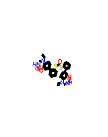 CCN1CNS(=O)(=O)c2cc(-c3ccccc3SC(=O)Sc3ccccc3-c3ccc4c(c3)S(=O)(=O)NCN4CC)ccc21